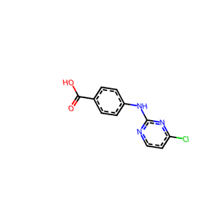 O=C(O)c1ccc(Nc2nccc(Cl)n2)cc1